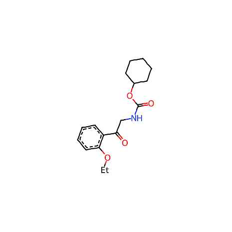 CCOc1ccccc1C(=O)CNC(=O)OC1CCCCC1